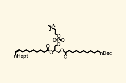 CCCCCCC/C=C\CCCCCCCC(=O)O[C@H](COC(=O)CCCCCCCCCCCCCCCCCCC)COP(=O)([O-])OCC[N+](C)(C)C